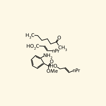 CCCC=CC(=O)O.CCCC=CCO.CCCCCC(C)=O.COC(=O)c1ccccc1N